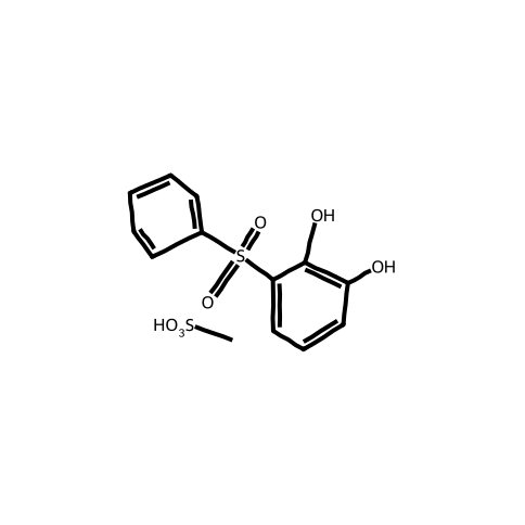 CS(=O)(=O)O.O=S(=O)(c1ccccc1)c1cccc(O)c1O